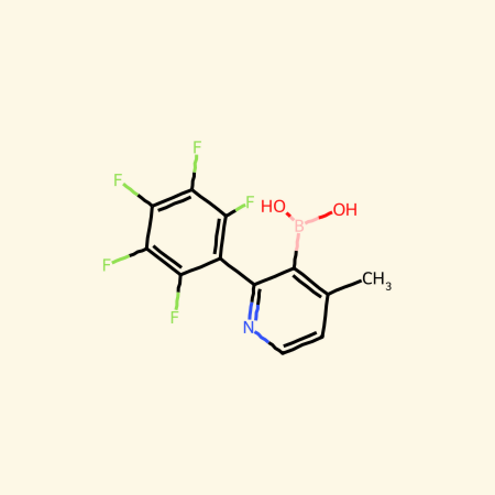 Cc1ccnc(-c2c(F)c(F)c(F)c(F)c2F)c1B(O)O